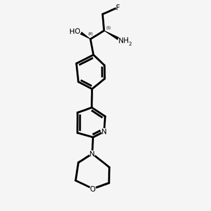 N[C@H](CF)[C@H](O)c1ccc(-c2ccc(N3CCOCC3)nc2)cc1